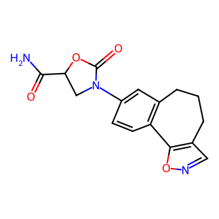 NC(=O)C1CN(c2ccc3c(c2)CCCc2cnoc2-3)C(=O)O1